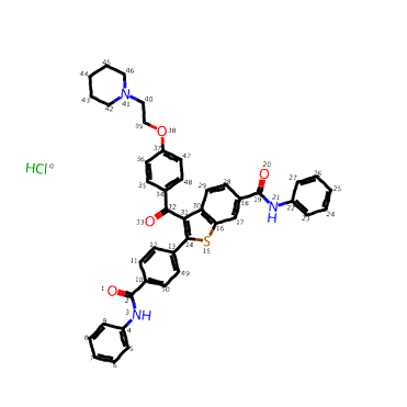 Cl.O=C(Nc1ccccc1)c1ccc(-c2sc3cc(C(=O)Nc4ccccc4)ccc3c2C(=O)c2ccc(OCCN3CCCCC3)cc2)cc1